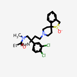 CCC(=O)N(C)CC(CCN1CCC2(CC1)c1ccccc1C[S@+]2[O-])(NC)c1ccc(Cl)c(Cl)c1